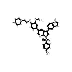 COc1cc(-c2cnc3c(c2)c(-c2ccc4c(c2)CCN4)cn3S(=O)(=O)c2ccc(C)cc2)ccc1OCCN1CCNCC1